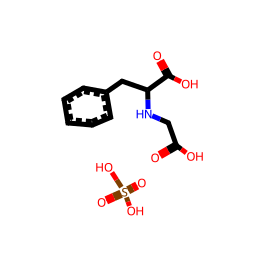 O=C(O)CNC(Cc1ccccc1)C(=O)O.O=S(=O)(O)O